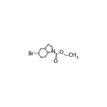 CCOC(=O)n1ccc2cc(Br)ccc21